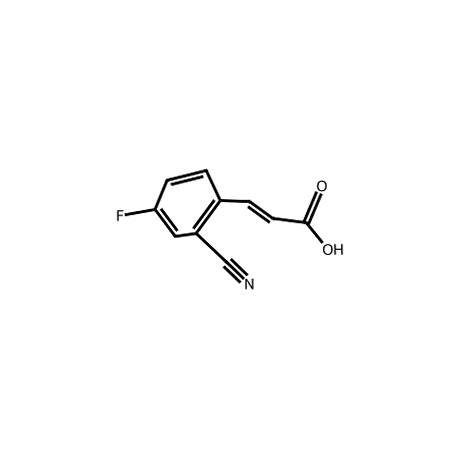 N#Cc1cc(F)ccc1/C=C/C(=O)O